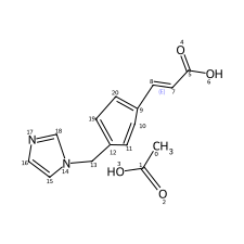 CC(=O)O.O=C(O)/C=C/c1ccc(Cn2ccnc2)cc1